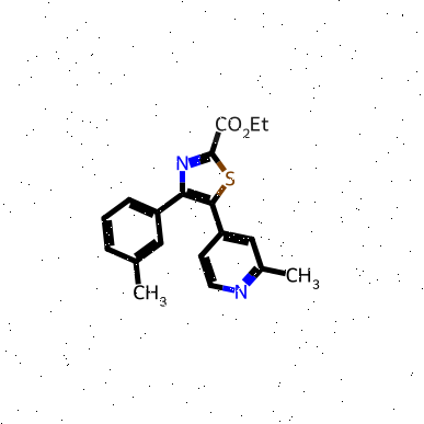 CCOC(=O)c1nc(-c2cccc(C)c2)c(-c2ccnc(C)c2)s1